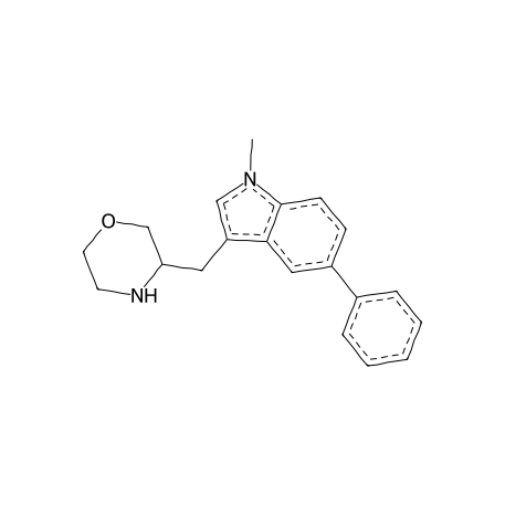 Cn1cc(CC2COCCN2)c2cc(-c3ccccc3)ccc21